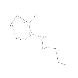 CCCNNc1ccccc1C